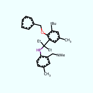 CCC(CC)(Pc1ccc(C)cc1CNC)c1cc(C)cc(C(C)(C)C)c1OCc1ccccc1